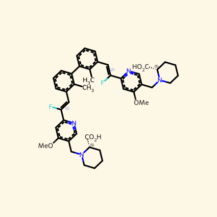 COc1cc(/C(F)=C/c2cccc(-c3cccc(/C=C(\F)c4cc(OC)c(CN5CCCC[C@H]5C(=O)O)cn4)c3C)c2C)ncc1CN1CCCC[C@H]1C(=O)O